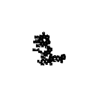 CN(C)c1nc2c(nc1C#N)C(=O)c1ccccc1-2.COCCOc1nc2c(nc1C#N)C(=O)c1ccccc1-2.COc1nc2c(nc1C#N)C(=O)c1ccccc1-2.COc1nc2c(nc1C#N)C(O)c1ccccc1-2.N#Cc1nc2c(nc1O)-c1ccccc1C2=O